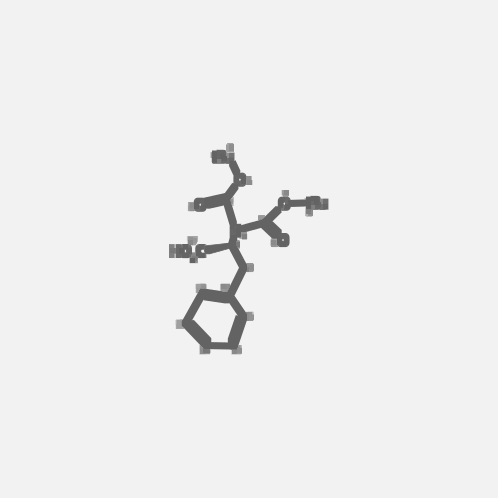 CC(C)(C)OC(=O)N(C(=O)OC(C)(C)C)[C@@H](Cc1ccccc1)C(=O)O